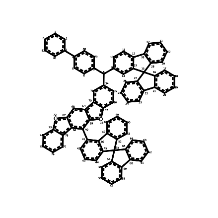 c1ccc(-c2ccc(C(c3ccc4c(c3)C3(c5ccccc5-c5ccccc53)c3ccccc3-4)c3ccc4oc5c(-c6cccc7c6-c6ccccc6C76c7ccccc7-c7ccccc76)c6c(cc5c4c3)oc3ccccc36)cc2)cc1